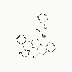 CCN(Cc1ccccc1)c1nc(NC(=O)Nc2cncnc2)cc(-c2ccccc2-c2nnn[nH]2)n1